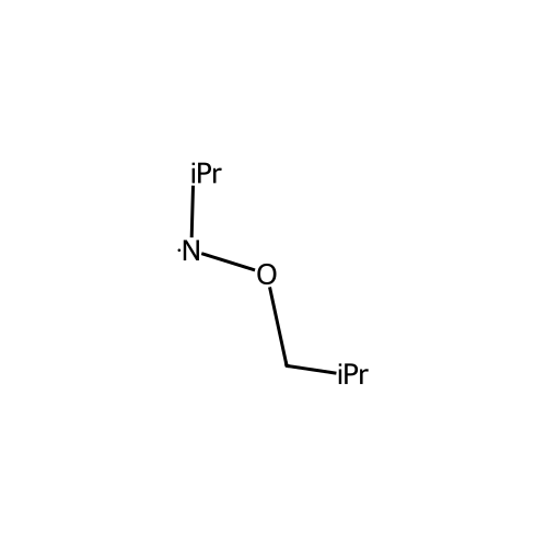 CC(C)CO[N]C(C)C